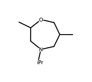 CC1COC(C)CN(C(C)C)C1